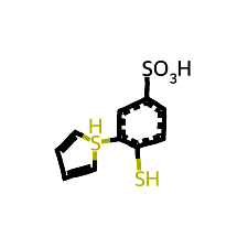 O=S(=O)(O)c1ccc(S)c([SH]2C=CC=C2)c1